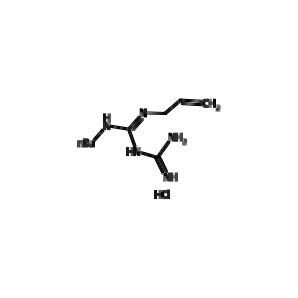 C=CCN=C(NCCCC)NC(=N)N.Cl